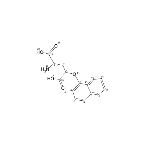 NC(CC(Oc1cccc2ccccc12)C(=O)O)C(=O)O